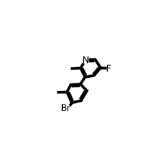 Cc1cc(-c2cc(F)cnc2C)ccc1Br